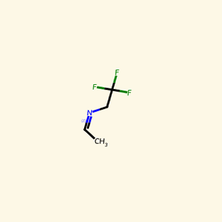 C/C=N\CC(F)(F)F